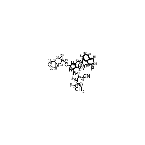 C=C(F)C(=O)N1CCN(c2nc(OCC3(CN4CCOCC4)CC3)nc3c2CCN(c2cccc4ccc(F)c(C)c24)C3)C[C@@H]1CC#N